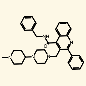 CN1CCC(N2CCN(Cc3c(-c4ccccc4)nc4ccccc4c3C(=O)NCc3ccccc3)CC2)CC1